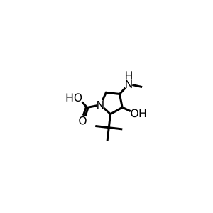 CNC1CN(C(=O)O)C(C(C)(C)C)C1O